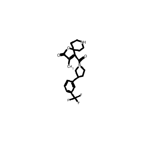 CC1=C(C(=O)N2CCC(c3cccc(C(F)(F)F)c3)C2)C2(CCNCC2)OC1=O